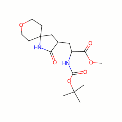 COC(=O)C(CC1CC2(CCOCC2)NC1=O)NC(=O)OC(C)(C)C